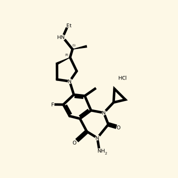 CCN[C@@H](C)[C@@H]1CCN(c2c(F)cc3c(=O)n(N)c(=O)n(C4CC4)c3c2C)C1.Cl